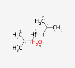 CC(C)[CH2][Hf][CH2]C(C)C.O